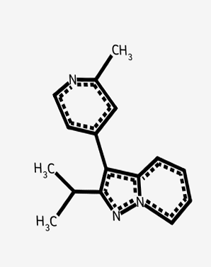 Cc1cc(-c2c(C(C)C)nn3ccccc23)ccn1